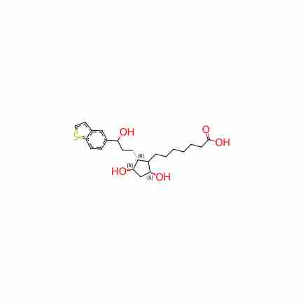 O=C(O)CCCCCCC1[C@@H](CCC(O)c2ccc3sccc3c2)[C@H](O)C[C@@H]1O